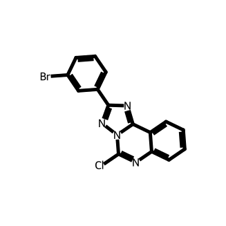 Clc1nc2ccccc2c2nc(-c3cccc(Br)c3)nn12